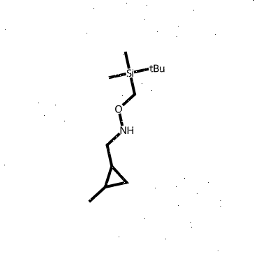 CC1CC1CNOC[Si](C)(C)C(C)(C)C